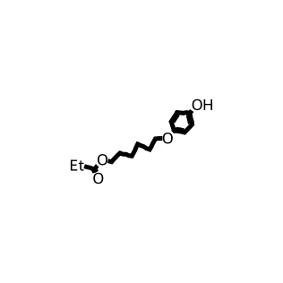 CCC(=O)OCCCCCCOc1ccc(O)cc1